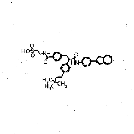 CC(C)(C)CCc1ccc(C(Cc2ccc(C(=O)NCCS(=O)(=O)O)cc2)C(=O)Nc2ccc(C3=Cc4ccccc4C3)cc2)cc1